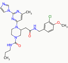 CCCNC(=O)N1CCN(c2cc(C)nc(-n3ccnc3)n2)C(CC(=O)NCc2ccc(OC)c(Cl)c2)C1